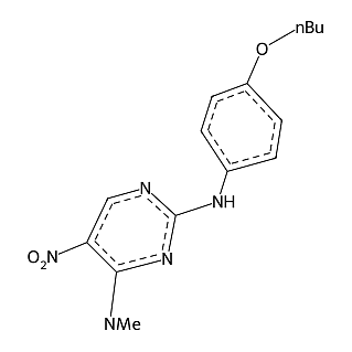 CCCCOc1ccc(Nc2ncc([N+](=O)[O-])c(NC)n2)cc1